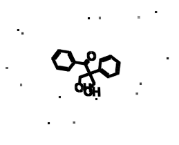 O=C(c1ccccc1)C(CO)(CO)c1ccccc1